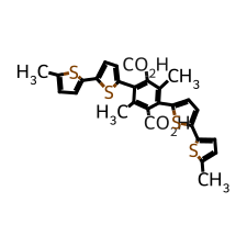 Cc1ccc(-c2ccc(-c3c(C)c(C(=O)O)c(-c4ccc(-c5ccc(C)s5)s4)c(C)c3C(=O)O)s2)s1